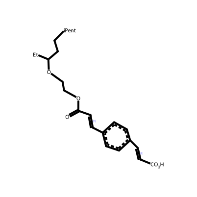 CCCC(C)CCC(CC)OCCOC(=O)/C=C/c1ccc(/C=C/C(=O)O)cc1